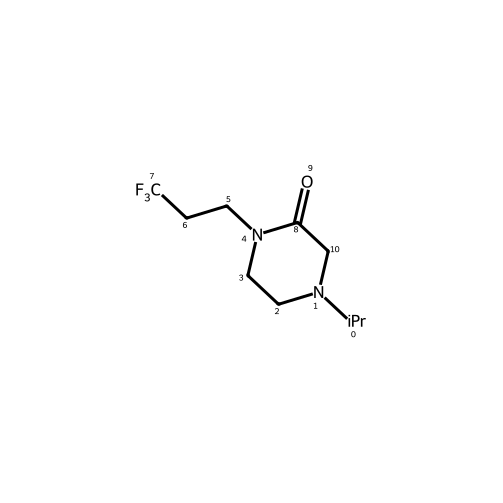 CC(C)N1CCN(CCC(F)(F)F)C(=O)C1